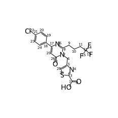 O=C(O)c1nc(Cn2c(CCCC(F)(F)F)nc(-c3ccc(Cl)cc3)cc2=O)cs1